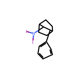 IN(I)C1C2CCC(CC2)C1c1ccccc1